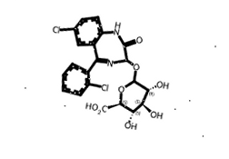 O=C1Nc2ccc(Cl)cc2C(c2ccccc2Cl)=NC1OC1O[C@H](C(=O)O)[C@@H](O)[C@H](O)[C@H]1O